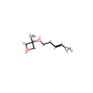 CC=CCCOC1(CCC)COC1